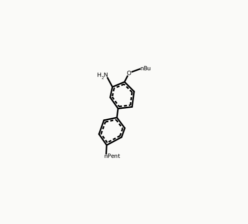 CCCCCc1ccc(-c2ccc(OCCCC)c(N)c2)cc1